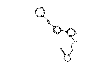 O=C1NCCN1CCNc1nccc(-c2ccc(C#Cc3ccccc3)s2)n1